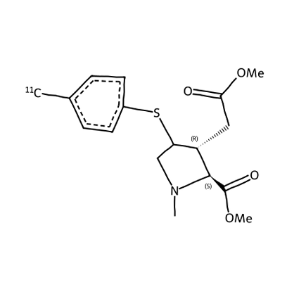 COC(=O)C[C@H]1C(Sc2ccc([11CH3])cc2)CN(C)[C@@H]1C(=O)OC